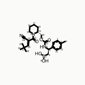 Cc1ccc([C@@H](CB(O)O)NC(=O)OC[C@H]2CCCCN2C(=O)C(C#N)=CC(C)(C)C)cc1